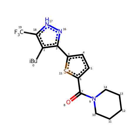 CCC(C)c1c(-c2ccc(C(=O)N3CCCCC3)s2)n[nH]c1C(F)(F)F